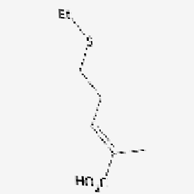 [CH2]CSCCC=C(C)C(=O)O